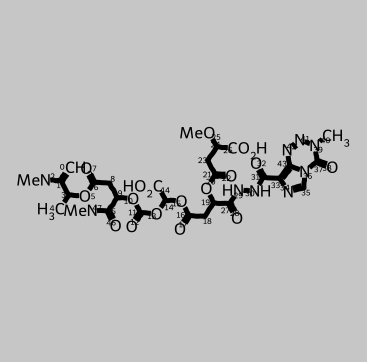 C=C(NC)C(C)OC(=O)CC(OC(=O)OC(OC(=O)CC(OC(=O)CC(OC)C(=O)O)C(=O)NNC(=O)c1ncn2c(=O)n(C)nnc12)C(=O)O)C(=O)NC